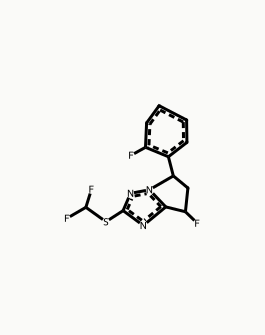 Fc1ccccc1C1CC(F)c2nc(SC(F)F)nn21